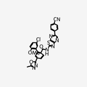 COc1ccc(Cl)cc1-c1cc(-c2nnc(C)o2)ccc1C(=O)Nc1nc2ncc(-c3ccc(C#N)cc3)nc2s1